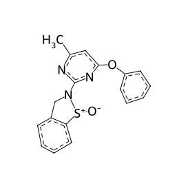 Cc1cc(Oc2ccccc2)nc(N2Cc3ccccc3[S+]2[O-])n1